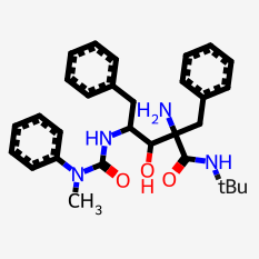 CN(C(=O)NC(Cc1ccccc1)C(O)C(N)(Cc1ccccc1)C(=O)NC(C)(C)C)c1ccccc1